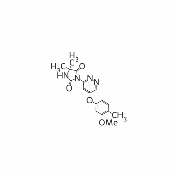 COc1cc(Oc2cnnc(N3C(=O)NC(C)(C)C3=O)c2)ccc1C